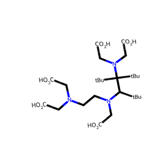 CC(C)(C)C(N(CCN(CC(=O)O)CC(=O)O)CC(=O)O)C(N(CC(=O)O)CC(=O)O)(C(C)(C)C)C(C)(C)C